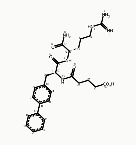 N=C(N)NCCC[C@H](NC(=O)[C@H](Cc1ccc(-c2ccccc2)cc1)NC(=O)CCCC(=O)O)C(N)=O